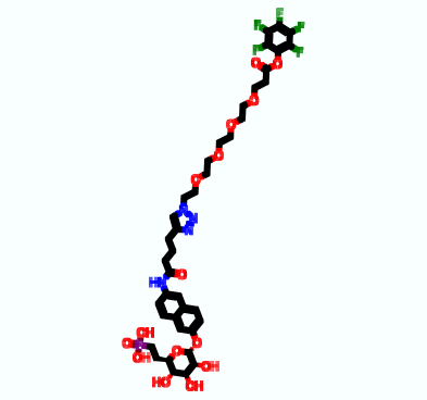 O=C(CCCc1cn(CCOCCOCCOCCOCCC(=O)Oc2c(F)c(F)c(F)c(F)c2F)nn1)Nc1ccc2cc(O[C@H]3O[C@H](CCP(=O)(O)O)[C@@H](O)[C@H](O)[C@@H]3O)ccc2c1